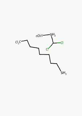 CCCCCCCC[SiH2]C(Cl)Cl.[SiH3]CCCCCCCC(Cl)(Cl)Cl